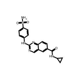 NS(=O)(=O)c1ccc(Nc2ncc3cc(C(=O)NC4CC4)ccc3n2)cc1